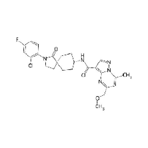 COCc1cc(C)n2ncc(C(=O)N[C@H]3CC[C@@]4(CCN(c5ccc(F)cc5Cl)C4=O)CC3)c2n1